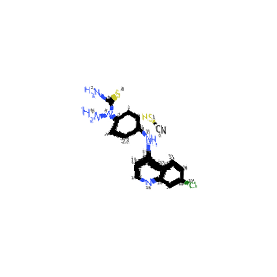 N#CS.NC(=S)N(N)C1CCC(Nc2ccnc3cc(Cl)ccc23)CC1